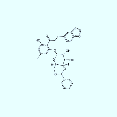 Cc1cc(O)c(C(=O)CCc2ccc3occc3c2)c(O[C@@H]2O[C@@H]3COC(c4ccccc4)O[C@H]3[C@H](O)[C@H]2O)c1